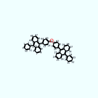 c1ccc(-c2c3ccccc3c(-c3ccc(Oc4ccc(-c5c6ccccc6c(-c6ccccc6)c6ccccc56)cc4)cc3)c3ccccc23)cc1